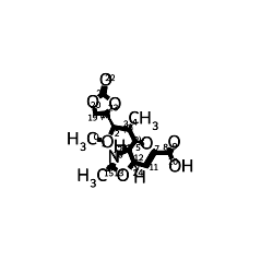 COC([C@@H](C)[C@H]1OC(C(=O)O)=C[C@H]2OC(C)=N[C@@H]12)[C@H]1COC(=O)O1